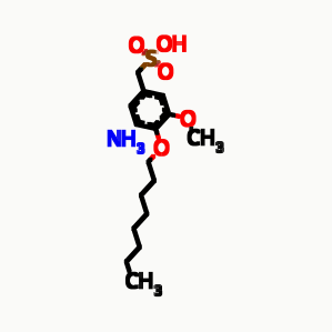 CCCCCCCCOc1ccc(CS(=O)(=O)O)cc1OC.N